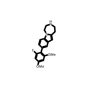 COc1cc(F)c(-c2ccc3c(c2)cc2n3CCNCC2)c(OC)c1